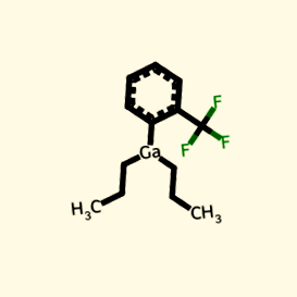 CC[CH2][Ga]([CH2]CC)[c]1ccccc1C(F)(F)F